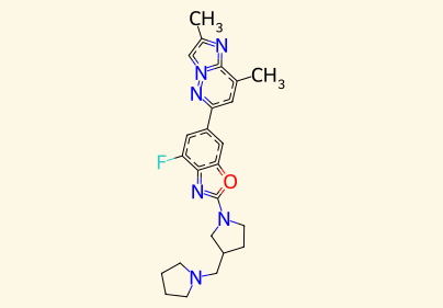 Cc1cn2nc(-c3cc(F)c4nc(N5CCC(CN6CCCC6)C5)oc4c3)cc(C)c2n1